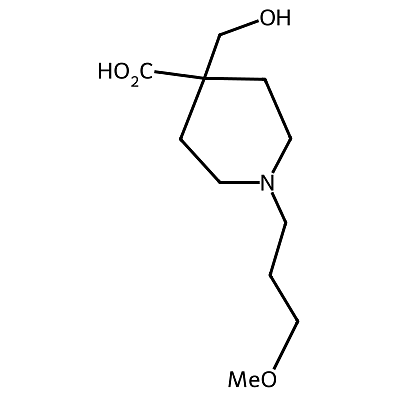 COCCCN1CCC(CO)(C(=O)O)CC1